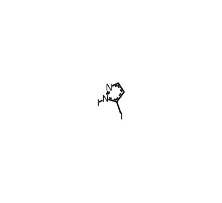 Ic1ccnn1I